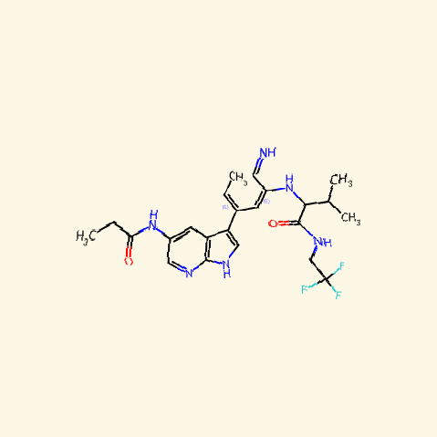 C/C=C(\C=C(/C=N)NC(C(=O)NCC(F)(F)F)C(C)C)c1c[nH]c2ncc(NC(=O)CC)cc12